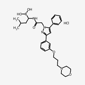 CC(C)CC(NC(=O)Cn1nc(-c2cccc(OCCCN3CCOCC3)c2)cc1-c1ccccc1)B(O)O.Cl